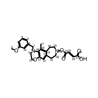 COc1cccc(CN2CCOc3cc4c(c(C)c32)CCN(OC(=O)/C=C/C(=O)O)CC4)c1